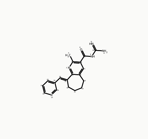 Cc1nc2c(cc1C(=O)NC(=N)N)CCCC/C2=C\c1cccnc1